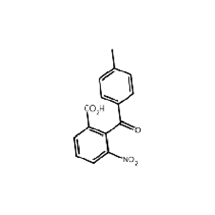 Cc1ccc(C(=O)c2c(C(=O)O)cccc2[N+](=O)[O-])cc1